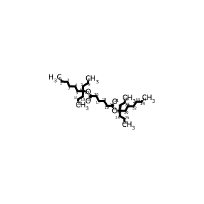 CCCCCCC(CCC)(CCC)OC(=O)CCCCC(=O)OC(CCC)(CCC)CCCCCC